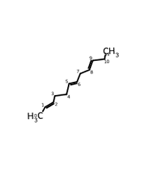 CC=CCCC=CCC=CCC